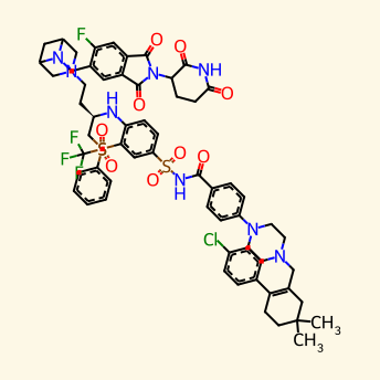 CC1(C)CCC(c2ccc(Cl)cc2)=C(CN2CCN(c3ccc(C(=O)NS(=O)(=O)c4ccc(N[C@H](CCN5CC6CC(C5)N6Cc5cc6c(cc5F)C(=O)N(C5CCC(=O)NC5=O)C6=O)CSc5ccccc5)c(S(=O)(=O)C(F)(F)F)c4)cc3)CC2)C1